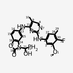 COc1cc(Nc2ncc(C)c(Nc3ccc4oc(=O)n(C(O)P)c4c3)n2)cc(C)c1F